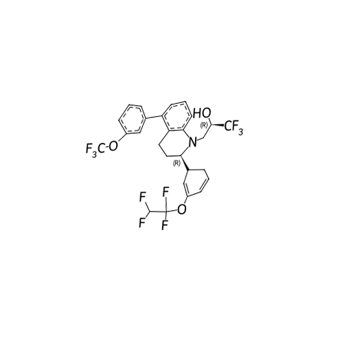 O[C@H](CN1c2cccc(-c3cccc(OC(F)(F)F)c3)c2CC[C@@H]1C1C=C(OC(F)(F)C(F)F)C=CC1)C(F)(F)F